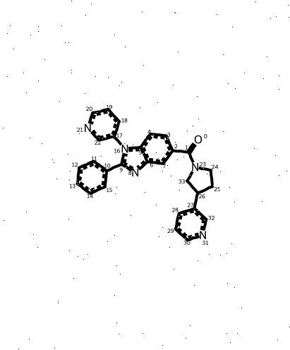 O=C(c1ccc2c(c1)nc(-c1ccccc1)n2-c1cccnc1)N1CCC(c2cccnc2)C1